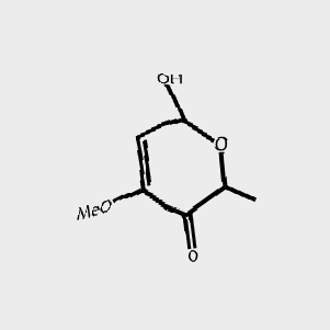 COC1=CC(O)OC(C)C1=O